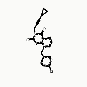 O=c1nc2n(Cc3ccc(Cl)nc3)cccc-2c(=O)n1CC#CC1CC1